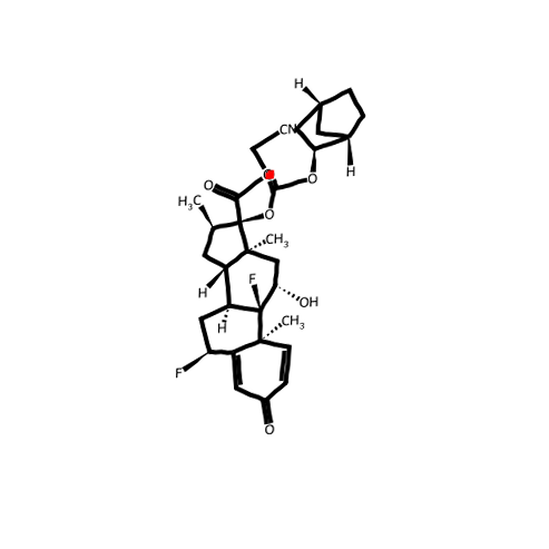 C[C@@H]1C[C@H]2[C@@H]3C[C@H](F)C4=CC(=O)C=C[C@]4(C)[C@@]3(F)[C@@H](O)C[C@]2(C)[C@@]1(OC(=O)O[C@H]1C[C@@H]2CC[C@H]1C2)C(=O)OCC#N